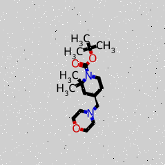 CC(C)(C)OC(=O)N1CC[C@@H](CN2CCOCC2)CC1(C)C